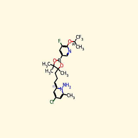 CC1=CC(Cl)=C/C(=C/CCC2(C)OB(c3cnc(O[C@H](C)C(F)(F)F)c(F)c3)OC2(C)C)N1N